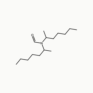 CCCCCC(C)N(C=O)C(C)CCCCC